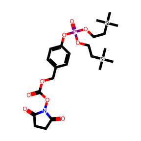 C[Si](C)(C)CCOP(=O)(OCC[Si](C)(C)C)Oc1ccc(COC(=O)ON2C(=O)CCC2=O)cc1